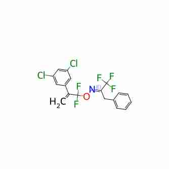 C=C(c1cc(Cl)cc(Cl)c1)C(F)(F)O/N=C(\Cc1ccccc1)C(F)(F)F